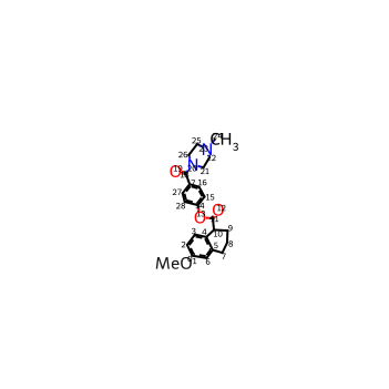 COc1ccc2c(c1)CCCC2C(=O)Oc1ccc(C(=O)N2CCN(C)CC2)cc1